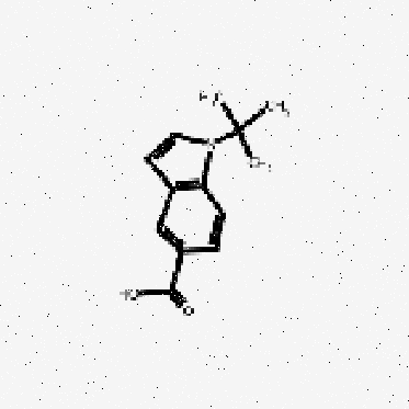 CC(C)(C)n1ccc2cc(C(=O)O)ccc21